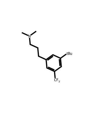 CN(C)CCCc1cc(C(C)(C)C)cc(C(F)(F)F)c1